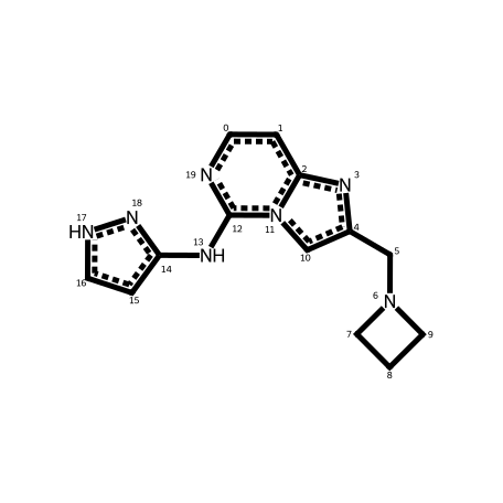 c1cc2nc(CN3CCC3)cn2c(Nc2cc[nH]n2)n1